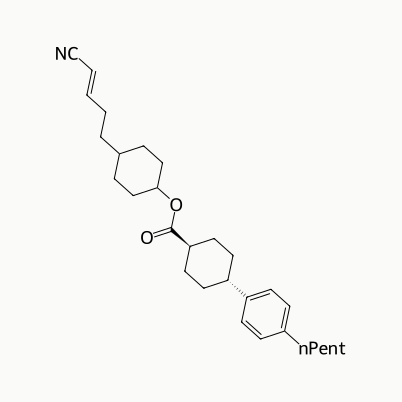 CCCCCc1ccc([C@H]2CC[C@H](C(=O)OC3CCC(CC/C=C/C#N)CC3)CC2)cc1